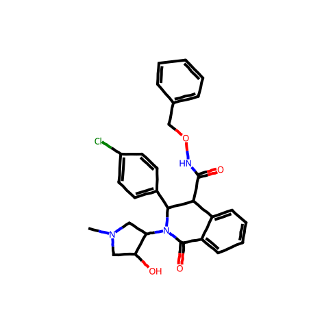 CN1CC(O)C(N2C(=O)c3ccccc3C(C(=O)NOCc3ccccc3)C2c2ccc(Cl)cc2)C1